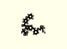 CC(C)COc1ccccc1CN1CCC2(CC1)CCN(C(=O)c1ccc(Oc3ccccc3)cc1)C2.O=C(O)C(F)(F)F